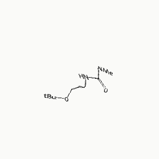 CNC(=O)NCCOC(C)(C)C